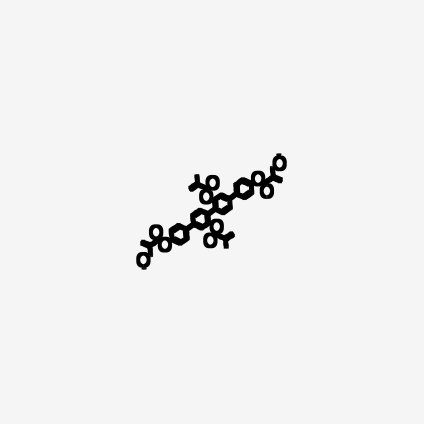 C=C(C)C(=O)Oc1cc(-c2ccc(OC(=O)C(=C)COC)cc2)ccc1-c1ccc(-c2ccc(OC(=O)C(=C)COC)cc2)cc1OC(=O)C(=C)C